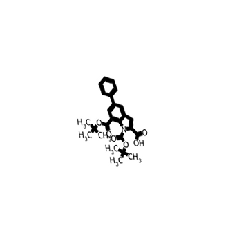 CC(C)(C)OC(=O)c1cc(-c2ccccc2)cc2cc(C(=O)O)n(C(=O)OC(C)(C)C)c12